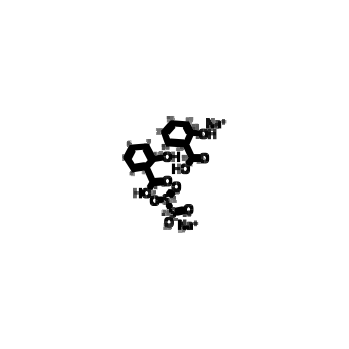 O=C(O)c1ccccc1O.O=C(O)c1ccccc1O.O=S([O-])S(=O)[O-].[Na+].[Na+]